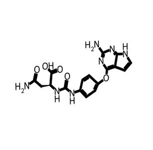 NC(=O)C[C@H](NC(=O)Nc1ccc(Oc2nc(N)nc3[nH]ccc23)cc1)C(=O)O